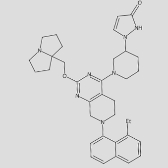 CCc1cccc2cccc(N3CCc4c(nc(OCC56CCCN5CCC6)nc4N4CCCC(n5ccc(=O)[nH]5)C4)C3)c12